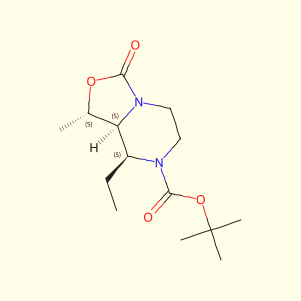 CC[C@H]1[C@H]2[C@H](C)OC(=O)N2CCN1C(=O)OC(C)(C)C